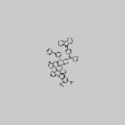 CC(C)(C)c1cc(-c2ccc3c(c2)N(c2c(-c4ccccc4)cccc2-c2ccccc2)c2cc(C(C)(C)C)cc4c2B3c2ccc(N(c3ccccc3)c3ccc(-n5c6ccccc6c6ccccc65)cc3)cc2N4c2cccc(-c3ccccc3)c2)cc(C(C)(C)C)c1